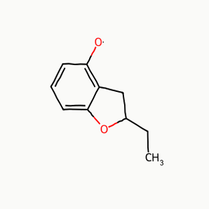 CCC1Cc2c([O])cccc2O1